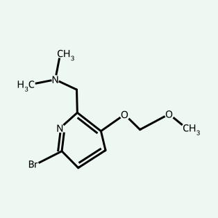 COCOc1ccc(Br)nc1CN(C)C